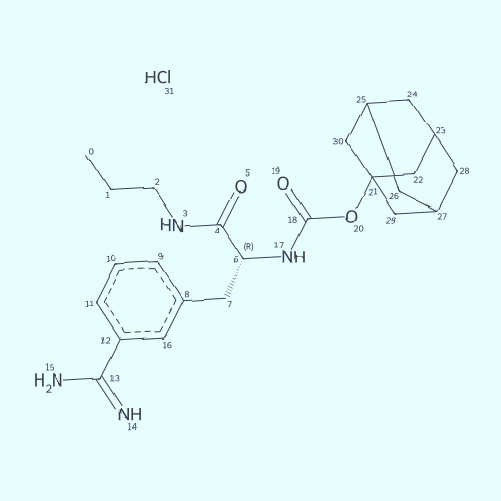 CCCNC(=O)[C@@H](Cc1cccc(C(=N)N)c1)NC(=O)OC12CC3CC(CC(C3)C1)C2.Cl